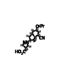 CC(C)Oc1cc(C#N)c2sc(-n3cc(C(=O)O)cn3)cc2c1